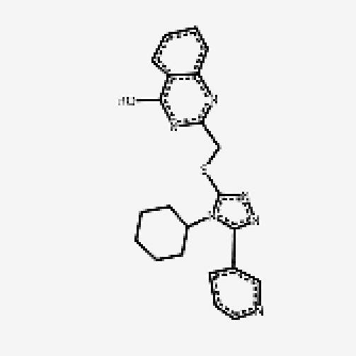 Oc1nc(CSc2nnc(-c3cccnc3)n2C2CCCCC2)nc2ccccc12